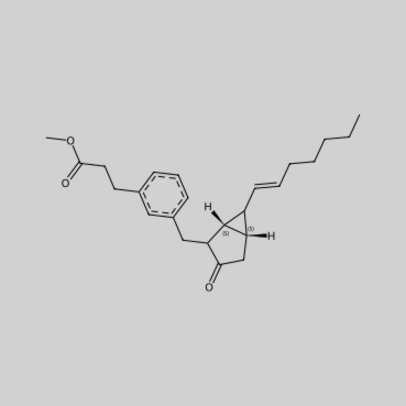 CCCCCC=CC1[C@H]2C(Cc3cccc(CCC(=O)OC)c3)C(=O)C[C@@H]12